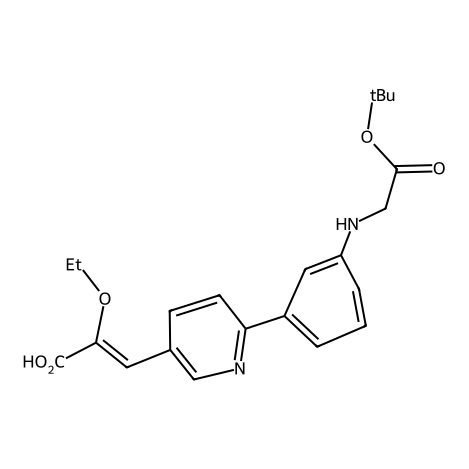 CCOC(=Cc1ccc(-c2cccc(NCC(=O)OC(C)(C)C)c2)nc1)C(=O)O